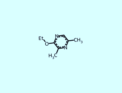 CCOc1ncc(C)nc1C